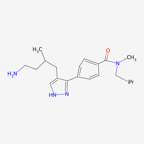 CC(C)CN(C)C(=O)c1ccc(-c2n[nH]cc2CC(C)CCN)cc1